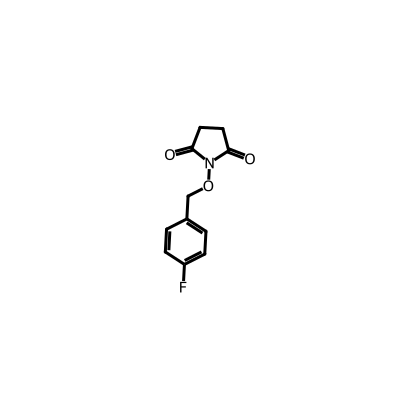 O=C1CCC(=O)N1OCc1ccc(F)cc1